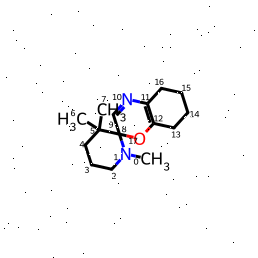 CN1CCCC(C)(C)C12C=NC1=C(CCCC1)O2